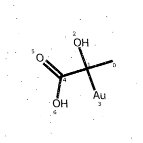 C[C](O)([Au])C(=O)O